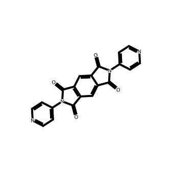 O=c1c2cc3c(=O)n(-c4ccncc4)c(=O)c3cc2c(=O)n1-c1ccncc1